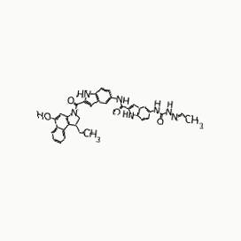 C/C=N/NC(=O)Nc1ccc2[nH]c(C(=O)Nc3ccc4[nH]c(C(=O)N5CC(CC)c6c5cc(O)c5ccccc65)cc4c3)cc2c1